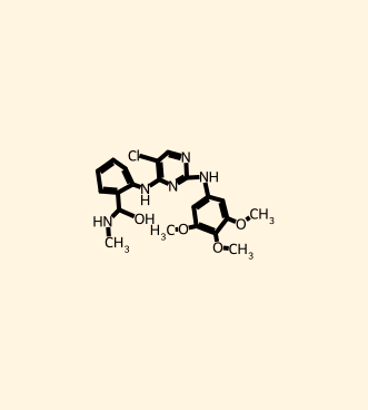 CNC(O)c1ccccc1Nc1nc(Nc2cc(OC)c(OC)c(OC)c2)ncc1Cl